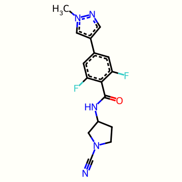 Cn1cc(-c2cc(F)c(C(=O)NC3CCN(C#N)C3)c(F)c2)cn1